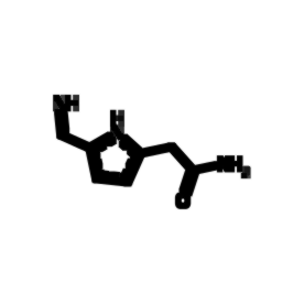 N=Cc1ccc(CC(N)=O)[nH]1